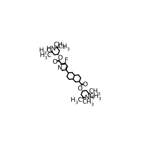 CC1(C)CC(OC(=O)c2ncc(C3CCC4CC(C(=O)OC5CC(C)(C)NC(C)(C)C5)CCC4C3)cc2F)CC(C)(C)N1